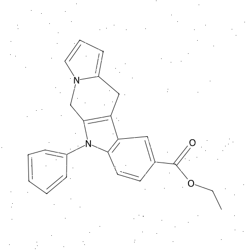 CCOC(=O)c1ccc2c(c1)c1c(n2-c2ccccc2)Cn2cccc2C1